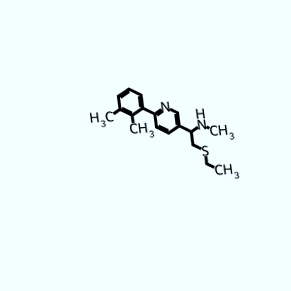 CCSCC(NC)c1ccc(-c2cccc(C)c2C)nc1